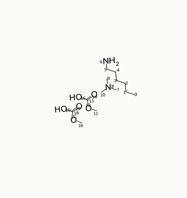 CCCCCCN.CN(C)C.COC(=O)O.COC(=O)O